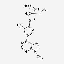 CC(C)CC(C)(COc1ccc(-c2ncnc3c2ccn3C)cc1C(F)(F)F)NC(=O)O